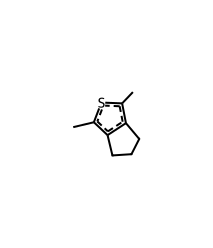 Cc1sc(C)c2c1CCC2